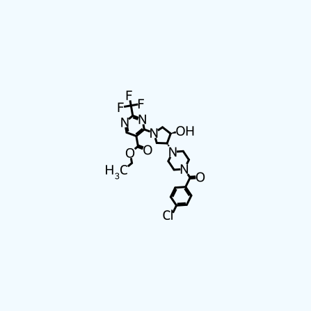 CCOC(=O)c1cnc(C(F)(F)F)nc1N1C[C@@H](O)[C@H](N2CCN(C(=O)c3ccc(Cl)cc3)CC2)C1